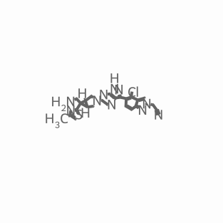 Cc1csc(C2(CN)[C@@H]3CN(c4cnc5c(-c6ccc7nn(CC#N)cc7c6Cl)n[nH]c5n4)C[C@@H]32)n1